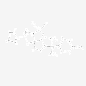 Cc1ccc(C(C)(C)N2CCC(CCc3cccs3)([C@@H](O)C(F)(F)F)C2)cn1